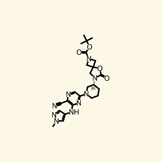 Cn1cc(Nc2nc(N3CCC[C@@H](N4CC5(CN(C(=O)OC(C)(C)C)C5)OC4=O)C3)cnc2C#N)cn1